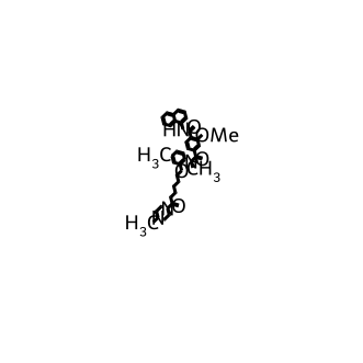 COc1cc(C(=O)N(C)c2ccc(C)cc2OCCCCCC(=O)N2CCN(C)CC2)ccc1C(=O)Nc1cccc2ccccc12